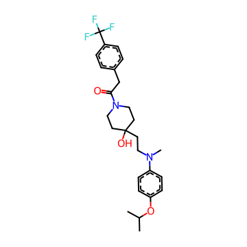 CC(C)Oc1ccc(N(C)CCC2(O)CCN(C(=O)Cc3ccc(C(F)(F)F)cc3)CC2)cc1